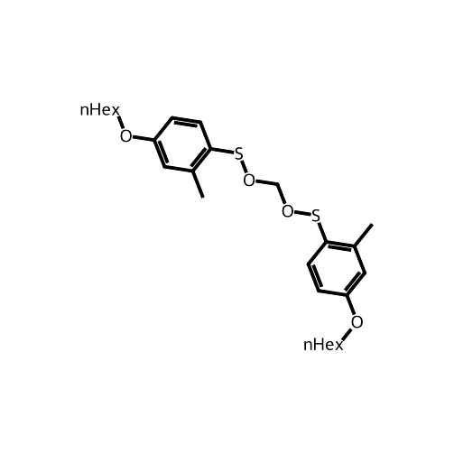 CCCCCCOc1ccc(SOCOSc2ccc(OCCCCCC)cc2C)c(C)c1